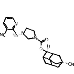 N#Cc1cccnc1N[C@@H]1CCN(C(=O)O[C@H]2C3CC4CC2C[C@](C#N)(C4)C3)C1